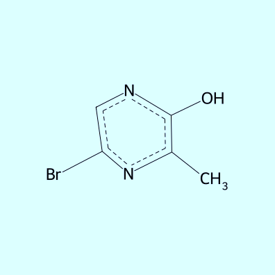 Cc1nc(Br)cnc1O